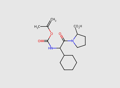 C=C(C)OC(=O)NC(C(=O)N1CCCC1C(=O)O)C1CCCCC1